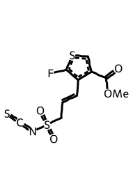 COC(=O)c1csc(F)c1C=CCS(=O)(=O)N=C=S